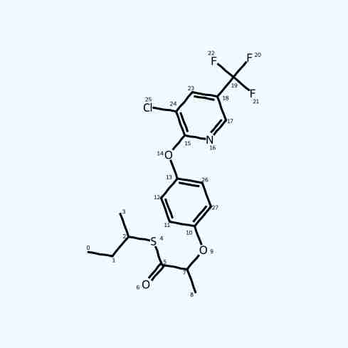 CCC(C)SC(=O)C(C)Oc1ccc(Oc2ncc(C(F)(F)F)cc2Cl)cc1